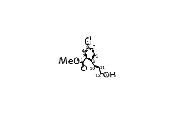 COC(=O)c1cc(Cl)ccc1C=CCO